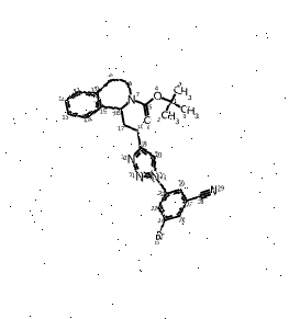 CC(C)(C)OC(=O)N1CCc2ccccc2C1CCc1cn(-c2cc(Br)cc(C#N)c2)nn1